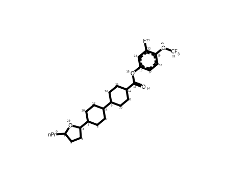 CCCC1CCC(C2CCC(C3CCC(C(=O)Oc4ccc(OC(F)(F)F)c(F)c4)CC3)CC2)O1